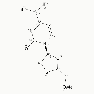 COCC1O[C@H](N2C=CC(N(C(C)C)C(C)C)=NC2O)CS1